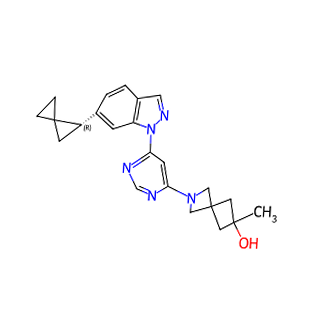 CC1(O)CC2(CN(c3cc(-n4ncc5ccc([C@@H]6CC67CC7)cc54)ncn3)C2)C1